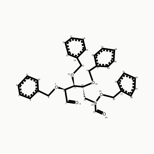 O=C[C@@H](OCc1ccccc1)[C@@H](OCc1ccccc1)[C@@H](CN(C=O)OCc1ccccc1)OCc1ccccc1